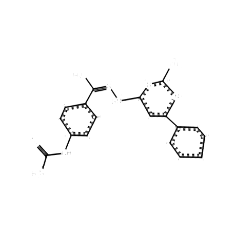 CC(=NNc1cc(-c2ccccc2)nc(C)n1)c1ccc(NC(N)=S)cc1